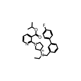 CCN(Cc1cccc(-c2ccc(F)cc2)c1)[C@@H]1CCN(c2ncccc2C(=O)OC(C)C)C1